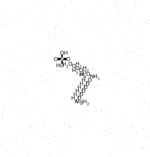 N.O.O.O.O.O.O.O.O.O.O.O.O.O=S(=O)(O)O.[MgH2]